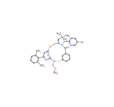 COCN1Sc2cccc(c2)C(=O)N(Cc2ccc(Br)cn2)[C@H](CC(C)(C)C)COc2cc(-c3c(C)cccc3C)nc1n2